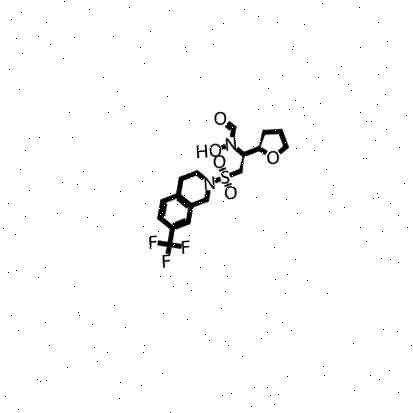 O=CN(O)[C@H](CS(=O)(=O)N1CCc2ccc(C(F)(F)F)cc2C1)[C@H]1CCCO1